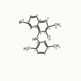 Cc1ccc(C)c(Nc2c(Cl)c(C)nc3ccc(Br)cc23)c1